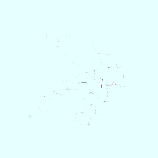 COC(=O)/C(C)=C\CC12OC(C)(C)C3CC(C1=O)C1C4=C(OC5=C1C32Oc1c(CC=C(C)C)c2c(c(OC(=O)CC(=O)N3CCN(C)CC3)c15)C=CC(C)(CCC=C(C)C)O2)c1ccccc1C4=O